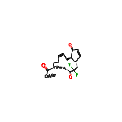 CCCCCC(=O)C(F)(F)C[C@H]1C=CC(=O)[C@@H]1C/C=C\CCCC(=O)OC